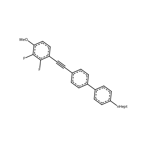 CCCCCCCc1ccc(-c2ccc(C#Cc3ccc(OC)c(F)c3F)cc2)cc1